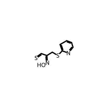 ON=C(C=S)CSc1ccccn1